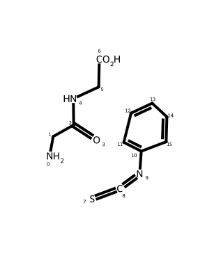 NCC(=O)NCC(=O)O.S=C=Nc1ccccc1